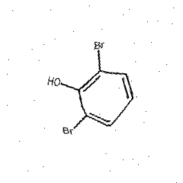 Oc1c(Br)c[c]cc1Br